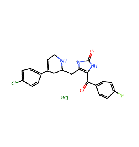 Cl.O=C1[N]C(CC2CC(c3ccc(Cl)cc3)=CCN2)=C(C(=O)c2ccc(F)cc2)N1